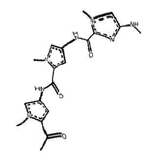 CNc1cn(C)c(C(=O)Nc2cc(C(=O)Nc3cc(C(C)=O)n(C)c3)n(C)c2)n1